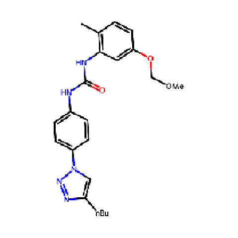 CCCCc1cn(-c2ccc(NC(=O)Nc3cc(OCOC)ccc3C)cc2)nn1